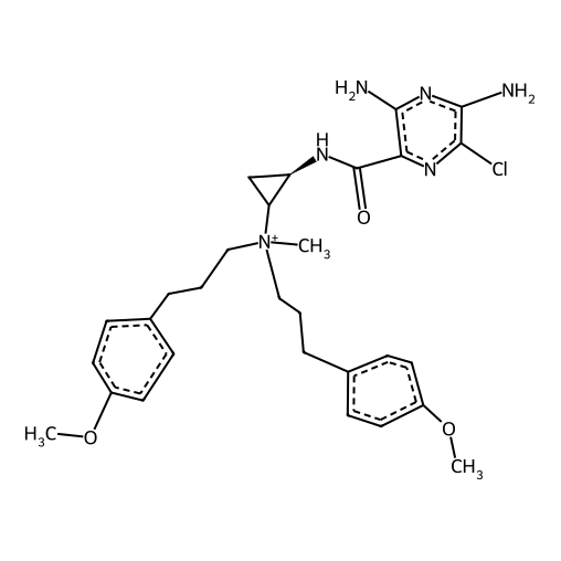 COc1ccc(CCC[N+](C)(CCCc2ccc(OC)cc2)C2C[C@H]2NC(=O)c2nc(Cl)c(N)nc2N)cc1